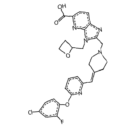 O=C(O)c1ccc2nc(CN3CCC(=Cc4cccc(Oc5ccc(Cl)cc5F)n4)CC3)n(CC3CCO3)c2n1